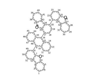 c1ccc2c(c1)oc1c(-c3c4ccccc4c(-c4ccc(-c5cccc6oc7ccccc7c56)c5c4oc4ccccc45)c4ccccc34)cccc12